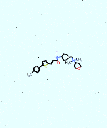 Cc1ccc(-c2ccc(/C=C/C(=O)NC3CCC(C[N+](C)(C)C4CCOCC4)CC3)s2)cc1.[I-]